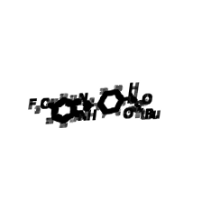 CC(C)(C)S(=O)(=O)N[C@H]1CC[C@H](c2nc3cc(C(F)(F)F)ccc3[nH]2)CC1